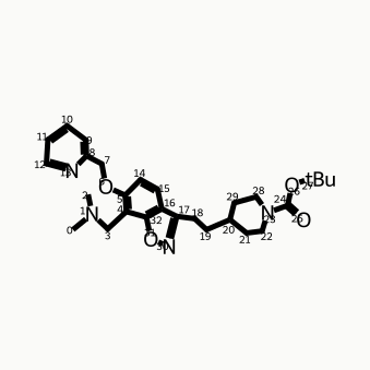 CN(C)Cc1c(OCc2ccccn2)ccc2c(CCC3CCN(C(=O)OC(C)(C)C)CC3)noc12